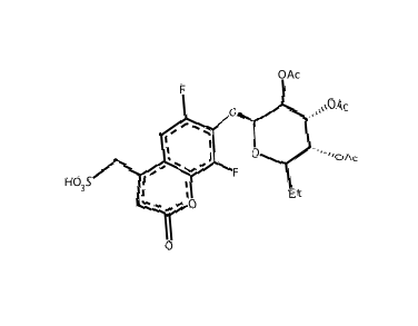 CCC1O[C@@H](Oc2c(F)cc3c(CS(=O)(=O)O)cc(=O)oc3c2F)C(OC(C)=O)[C@H](OC(C)=O)[C@@H]1OC(C)=O